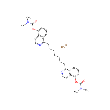 Br.Br.CN(C)C(=O)Oc1cccc2c(CCCCCCCc3nccc4c(OC(=O)N(C)C)cccc34)nccc12